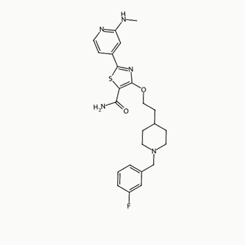 CNc1cc(-c2nc(OCCC3CCN(Cc4cccc(F)c4)CC3)c(C(N)=O)s2)ccn1